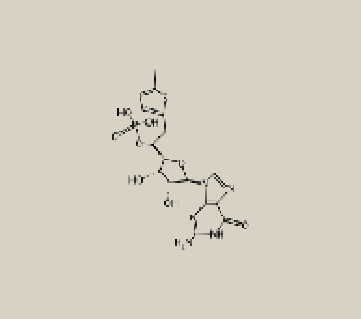 Cc1ccc(CC(OP(=O)(O)O)[C@H]2O[C@@H](n3cnc4c(=O)[nH]c(N)nc43)[C@H](O)[C@@H]2O)s1